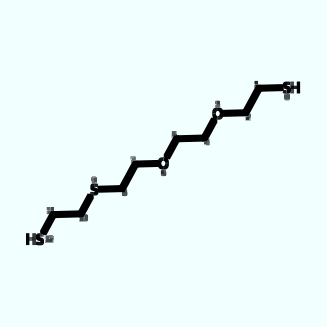 SCCOCCOCCSCCS